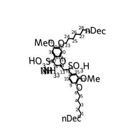 CCCCCCCCCCCCCCCCOc1ccc(C(CC(=O)CC(c2ccc(OCCCCCCCCCCCCCCCC)c(OC)c2)S(=O)(=O)O)S(=O)(=O)O)cc1OC.N.N